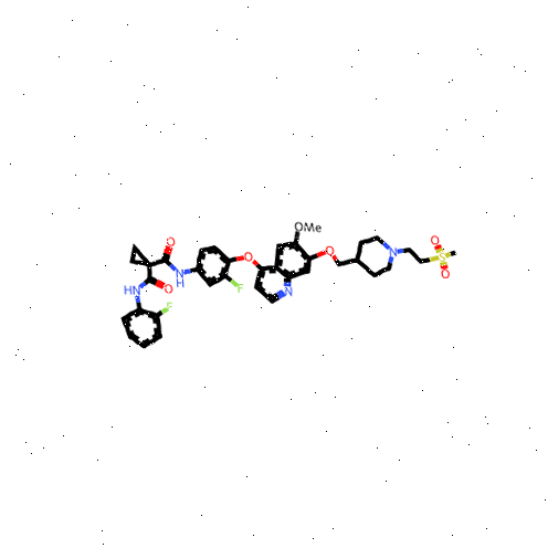 COc1cc2c(Oc3ccc(NC(=O)C4(C(=O)Nc5ccccc5F)CC4)cc3F)ccnc2cc1OCC1CCN(CCS(C)(=O)=O)CC1